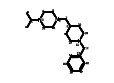 CC(C)N1CCN(CC2CCN(Cc3ccccc3)CC2)CC1